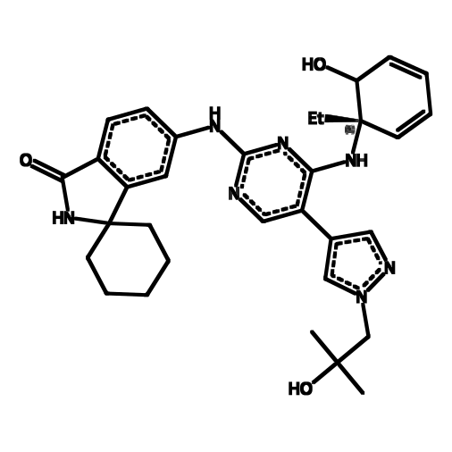 CC[C@]1(Nc2nc(Nc3ccc4c(c3)C3(CCCCC3)NC4=O)ncc2-c2cnn(CC(C)(C)O)c2)C=CC=CC1O